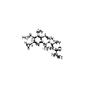 CCCc1c(C=N)c(N(CC)C[C@H](NC(=O)NCC)C(C)C)nc(C2CC2)c1CO